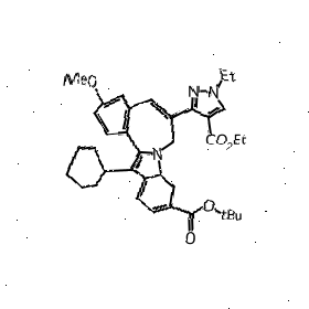 CCOC(=O)c1cn(CC)nc1C1=Cc2cc(OC)ccc2C2=C(C3CCCCC3)C3=CC=C(C(=O)OC(C)(C)C)CC3N2C1